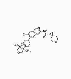 CC1(C)COC[C@@]1(C)N1CCC(c2cc3cc(NC(=O)[C@@H]4CC45CCOCC5)ncc3cc2Cl)CC1